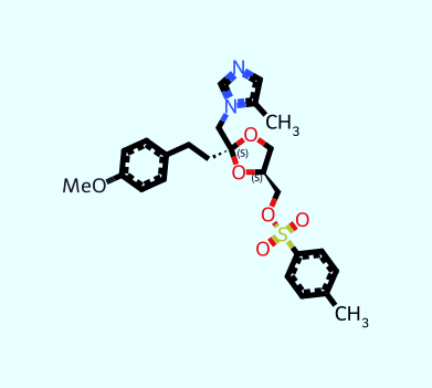 COc1ccc(CC[C@]2(Cn3cncc3C)OC[C@@H](COS(=O)(=O)c3ccc(C)cc3)O2)cc1